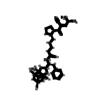 CC(C)C=C(C#N)C(=O)N1CCC[C@@H]1COCCC(=O)N[C@H](Cc1ccccc1)B1O[C@@H]2C[C@@H]3C[C@@H](C3(C)C)[C@]2(C)O1